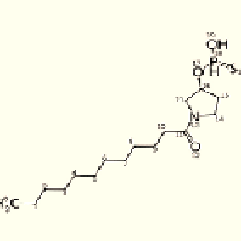 CCCCCCCCCCCC(=O)N1CC[C@H](O[PH](O)=S)C1